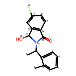 Cc1ccccc1C(C)N1C(=O)c2ccc(F)cc2C1O